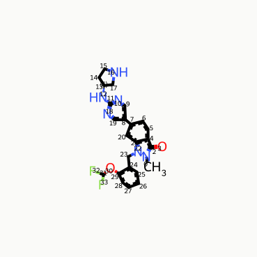 Cn1c(=O)c2ccc(-c3cnc(N[C@H]4CCNC4)nc3)cc2n1Cc1ccccc1OC(F)F